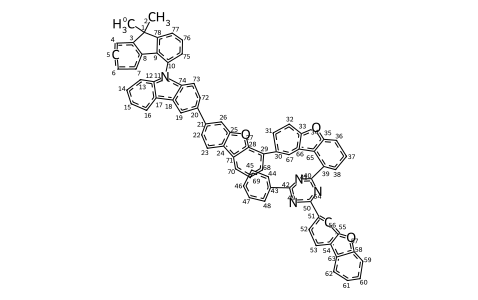 CC1(C)c2ccccc2-c2c(-n3c4ccccc4c4cc(-c5ccc6c(c5)oc5c(-c7ccc8oc9cccc(-c%10nc(-c%11ccccc%11)nc(-c%11ccc%12c(c%11)oc%11ccccc%11%12)n%10)c9c8c7)cccc56)ccc43)cccc21